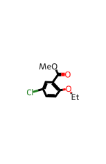 CCOc1ccc(Cl)cc1C(=O)OC